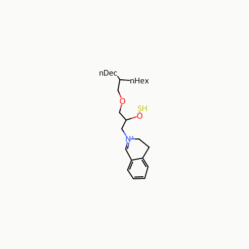 CCCCCCCCCCC(CCCCCC)COCC(C[N+]1=Cc2ccccc2CC1)OS